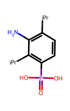 CC(C)c1ccc(P(=O)(O)O)c(C(C)C)c1N